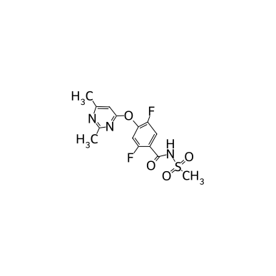 Cc1cc(Oc2cc(F)c(C(=O)NS(C)(=O)=O)cc2F)nc(C)n1